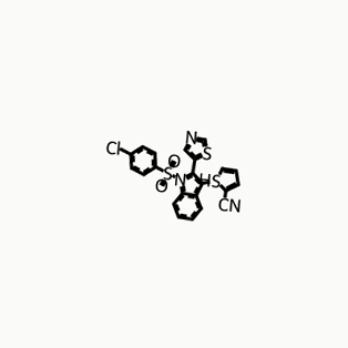 N#CC1=CC=C[SH]1c1c(-c2cncs2)n(S(=O)(=O)c2ccc(Cl)cc2)c2ccccc12